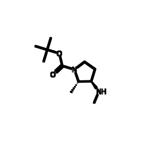 CN[C@@H]1CCN(C(=O)OC(C)(C)C)[C@H]1C